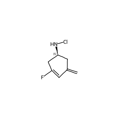 C=C1C=C(F)C[C@@H](NCl)C1